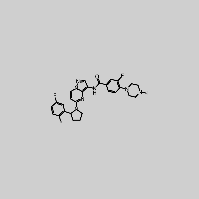 O=C(Nc1cnn2ccc(N3CCCC3c3cc(F)ccc3F)nc12)c1ccc(N2CCN(I)CC2)c(F)c1